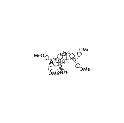 COc1ccc(CN(Cc2ccc(OC)cc2)c2cc(C)c(C(F)(F)F)c(-c3c(F)c4c5c(nc(OC[C@@]67CCCN6C[C@H](F)C7)nc5c3F)N([C@H](C)c3cccnc3N(Cc3ccc(OC)cc3)Cc3ccc(OC)cc3)CCO4)n2)cc1